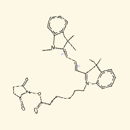 CN1/C(=C/C=C/C2=[N+](CCCCCC(=O)ON3C(=O)CCC3=O)c3ccccc3C2(C)C)C(C)(C)c2ccccc21